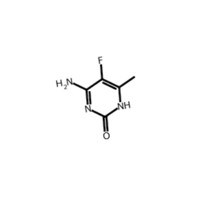 Cc1[nH]c(=O)nc(N)c1F